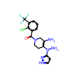 NC1=C(N(N)c2cc[nH]n2)CCN(C(=O)c2cccc(C(F)(F)F)c2Cl)C1